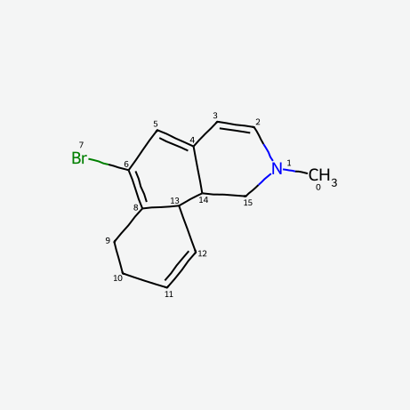 CN1C=CC2=CC(Br)=C3CCC=CC3C2C1